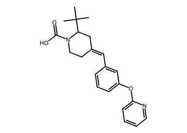 CC(C)(C)C1CC(=Cc2cccc(Oc3ccccn3)c2)CCN1C(=O)O